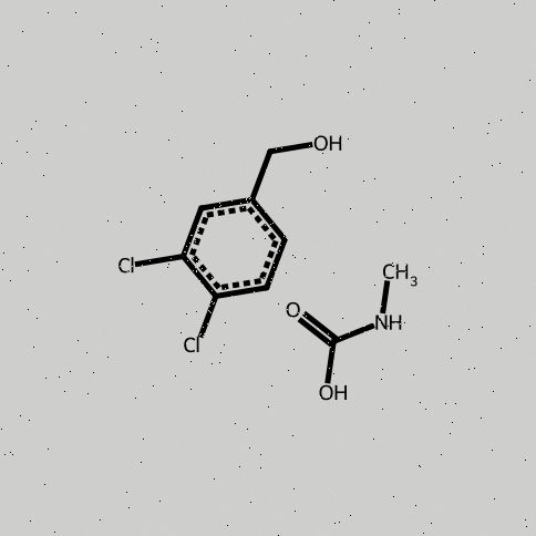 CNC(=O)O.OCc1ccc(Cl)c(Cl)c1